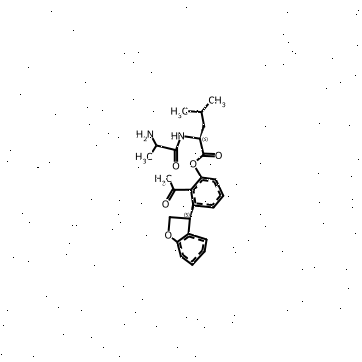 CC(=O)c1c(OC(=O)[C@H](CC(C)C)NC(=O)C(C)N)cccc1[C@@H]1COc2ccccc21